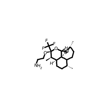 C[C@@H]1CC[C@H]2[C@@H](C)[C@](OCCN)(C(F)(F)F)O[C@@H]3O[C@]4(C)CCC1[C@]32OO4